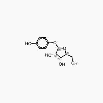 OC[C@@H]1O[C@H](Oc2ccc(O)cc2)[C@@H](O)[C@H]1O